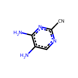 N#Cc1ncc(N)c(N)n1